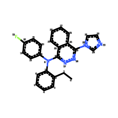 CCc1ccccc1N(c1ccc(F)cc1)c1nnc(-n2ccnc2)c2ccccc12